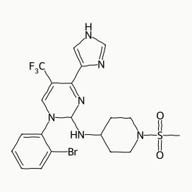 CS(=O)(=O)N1CCC(NC2N=C(c3c[nH]cn3)C(C(F)(F)F)=CN2c2ccccc2Br)CC1